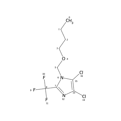 CCCCOCn1c(C(F)(F)F)nc(Cl)c1Cl